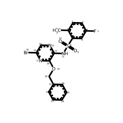 Cc1ccc(F)cc1S(=O)(=O)Nc1ncc(Br)nc1OCc1ccccc1